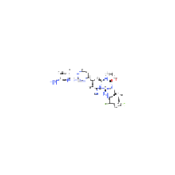 CN/C(=C\C=N)Nc1nccc(-c2cc(=N)n3c(=N)n(Cc4cc(F)cc(F)c4)c(=O)n(C)c3c2)n1